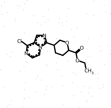 CCOC(=O)C1CCC(c2ncc3c(Cl)nccn23)CO1